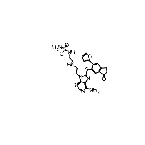 Nc1ncnc2c1nc(Sc1cc3c(cc1-c1ccco1)CCC3=O)n2CCNCCNS(N)(=O)=O